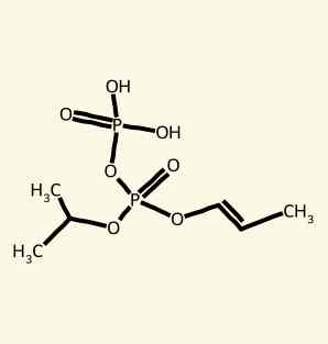 CC=COP(=O)(OC(C)C)OP(=O)(O)O